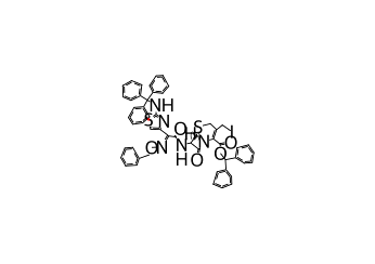 O=C(NC1C(=O)N2C(C(=O)OC(c3ccccc3)c3ccccc3)=C(CI)CS[C@@H]12)C(=NOCc1ccccc1)c1csc(NC(c2ccccc2)(c2ccccc2)c2ccccc2)n1